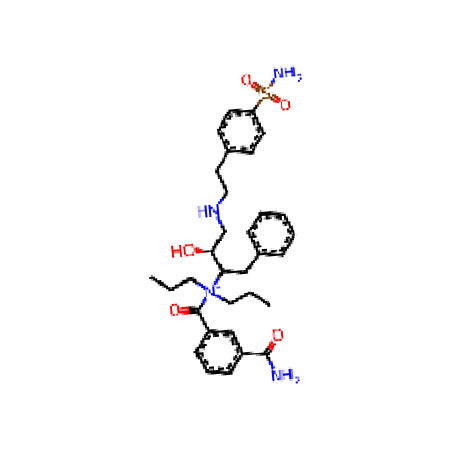 CCC[N+](CCC)(C(=O)c1cccc(C(N)=O)c1)C(Cc1ccccc1)[C@@H](O)CNCCc1ccc(S(N)(=O)=O)cc1